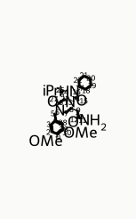 COc1ccc(CN2C[C@H](CC(N)=O)N(C(=O)NC3CCCCC3)[C@@H](CC(C)C)C2=O)cc1OC